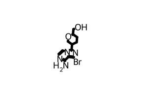 Nc1nccn2c(C3CCC(CO)OC3)nc(Br)c12